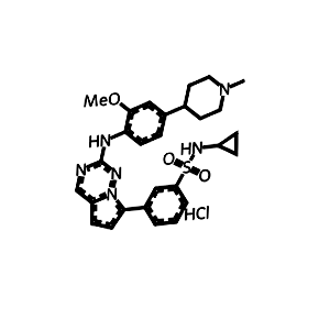 COc1cc(C2CCN(C)CC2)ccc1Nc1ncc2ccc(-c3cccc(S(=O)(=O)NC4CC4)c3)n2n1.Cl